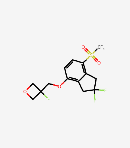 O=S(=O)(c1ccc(OCC2(F)COC2)c2c1CC(F)(F)C2)C(F)(F)F